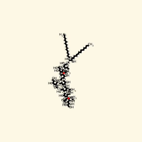 CCCCCCCCCCCCC/C=C/[C@@H](O)[C@H](CO[C@@H]1OC(CO)[C@@H](O[C@@H]2OC(CO)[C@H](O)[C@H](O[C@@H]3OC(CO)[C@@H](O[C@@H]4OC(CO[C@@H]5OC(CO)[C@@H](O)[C@H](O)C5NC(C)=O)[C@H](O)[C@H](O[C@H]5OC(CO)[C@@H](O[C@@H]6OC(CO)[C@H](O)[C@H](O[C@]7(C(=O)O)CC(O)[C@@H](NC(C)=O)C([C@H](O)[C@H](O)CO)O7)C6O)[C@H](O)C5NC(C)=O)C4O)[C@H](O)C3NC(C)=O)C2O)[C@H](O)C1O)NC(=O)CCCCCCCCCCCCCCC